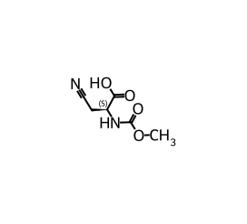 COC(=O)N[C@@H](CC#N)C(=O)O